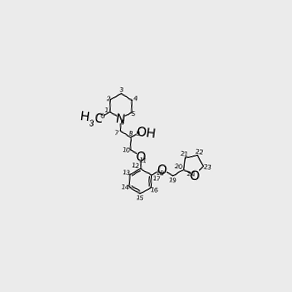 CC1CCCCN1CC(O)COc1ccccc1OCC1CCCO1